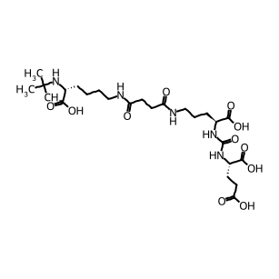 CC(C)(C)N[C@H](CCCCNC(=O)CCC(=O)NCCC[C@H](NC(=O)N[C@@H](CCC(=O)O)C(=O)O)C(=O)O)C(=O)O